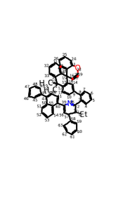 CC[C@@H]1C(c2ccccc2-c2ccc3c(c2)C2(c4ccccc4Oc4ccccc42)c2ccccc2C3(C)C)=NC(c2ccc(-c3ccccc3)c3ccccc23)=CC1c1ccccc1